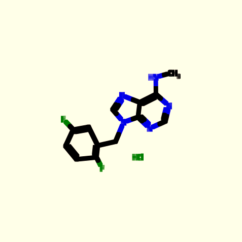 CNc1ncnc2c1ncn2Cc1cc(F)ccc1F.Cl